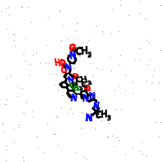 COc1nc(-c2cccc(-c3ccnc(-c4cc(OC)c5nc(CN6CC(C)(C#N)C6)cn5c4)c3Cl)c2Cl)ccc1CN(C(=O)O)C1CCN(C(C)=O)CC1